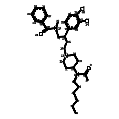 CCCCCCN(C(C)=O)C1CCN(CCC(CN(C)C(=O)c2ccccc2)c2ccc(Cl)c(Cl)c2)CC1